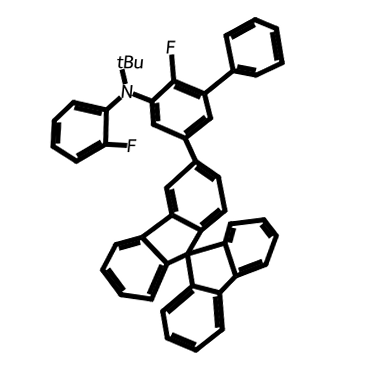 CC(C)(C)N(c1ccccc1F)c1cc(-c2ccc3c(c2)-c2ccccc2C32c3ccccc3-c3ccccc32)cc(-c2ccccc2)c1F